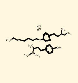 CC(CCc1ccc(O)cc1)N(C)C.CCCCCCCCOc1ccc(CCC(N)CC)cc1.Cl.Cl